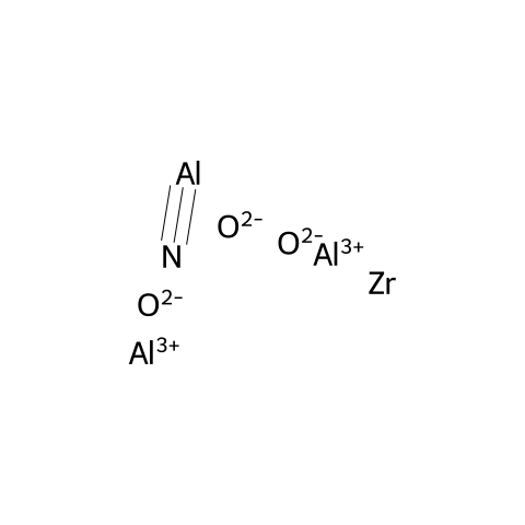 [Al+3].[Al+3].[N]#[Al].[O-2].[O-2].[O-2].[Zr]